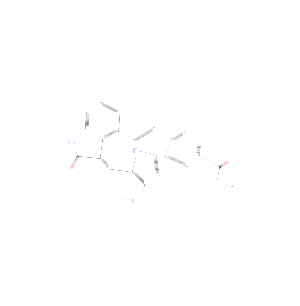 COC(=O)c1ccc(C=Cc2cccc3c2/C(=C\c2[nH]ccc2OC)C(=O)N3)cc1